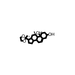 CC1(C2CCC3C4CC=C5CC(O)CCC5(C)C4[C@@](C)(O)C[C@@]32C)OCCO1